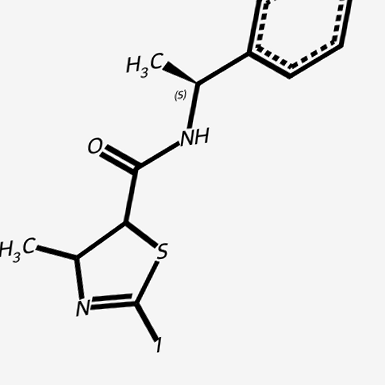 CC1N=C(I)SC1C(=O)N[C@@H](C)c1ccccc1